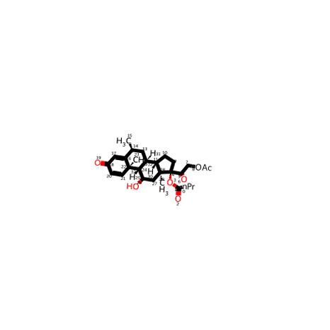 CCCC(=O)O[C@]1(C(=O)COC(C)=O)CC[C@H]2[C@@H]3C[C@H](C)C4=CC(=O)C=C[C@]4(C)[C@H]3C(O)C[C@@]21C